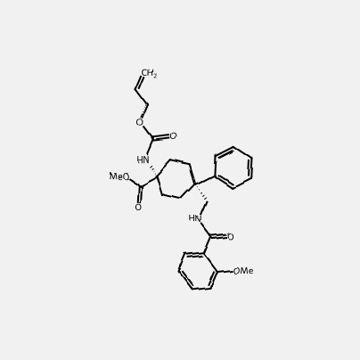 C=CCOC(=O)N[C@]1(C(=O)OC)CC[C@@](CNC(=O)c2ccccc2OC)(c2ccccc2)CC1